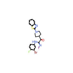 O=C(/C(=N/I)Nc1ccc(F)c(Br)c1)C1CCN(c2nc3ccccc3s2)CC1